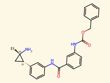 CC[C@]1(N)C[C@H]1c1cccc(NC(=O)c2cccc(NC(=O)OCc3ccccc3)c2)c1